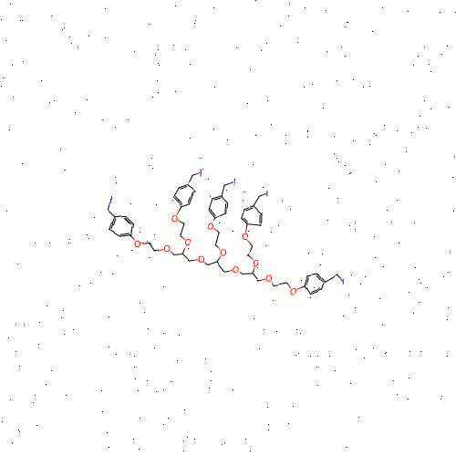 ICc1ccc(OCCOCC(COCC(COCC(COCCOc2ccc(CI)cc2)OCCOc2ccc(CI)cc2)OCCOc2ccc(CI)cc2)OCCOc2ccc(CI)cc2)cc1